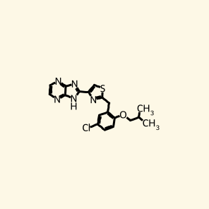 CC(C)COc1ccc(Cl)cc1Cc1nc(-c2nc3nccnc3[nH]2)cs1